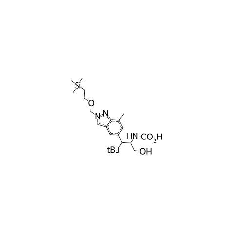 Cc1cc(C(C(CO)NC(=O)O)C(C)(C)C)cc2cn(COCC[Si](C)(C)C)nc12